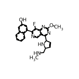 CNCC1C=CC(c2nc(OC)nc3c(F)c(-c4cc(O)cc5ccccc45)ncc23)N1